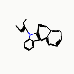 CCC(C)n1c2ccccc2c2c3ccccc3ccc21